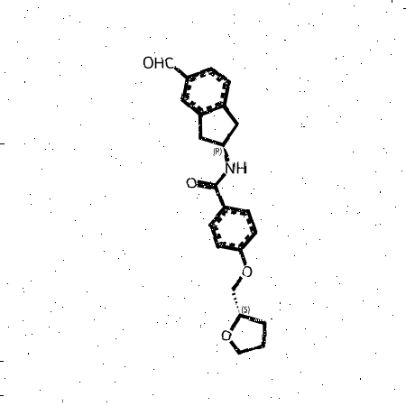 O=Cc1ccc2c(c1)C[C@H](NC(=O)c1ccc(OC[C@@H]3CCCO3)cc1)C2